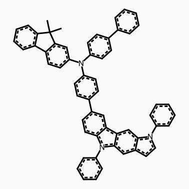 CC1(C)c2ccccc2-c2ccc(N(c3ccc(-c4ccccc4)cc3)c3ccc(-c4ccc5c(c4)c4cc6c(ccn6-c6ccccc6)cc4n5-c4ccccc4)cc3)cc21